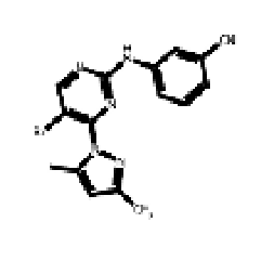 Cc1cc(C(F)(F)F)nn1-c1nc(Nc2cccc(C#N)c2)ncc1Br